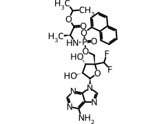 CC(C)OC(=O)[C@H](C)N[P@](=O)(OC[C@@]1(C(F)F)O[C@@H](n2cnc3c(N)ncnc32)[C@H](O)[C@@H]1O)Oc1cccc2ccccc12